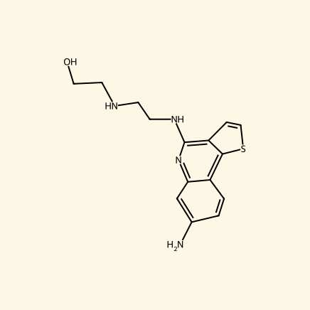 Nc1ccc2c(c1)nc(NCCNCCO)c1ccsc12